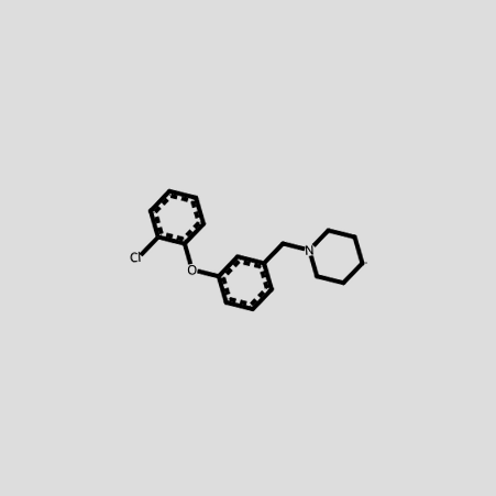 Clc1ccccc1Oc1cccc(CN2CC[CH]CC2)c1